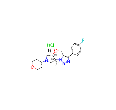 Cl.Fc1ccc(-c2nnn3c2CO[C@@H]2CN(C4CCOCC4)C[C@H]23)cc1